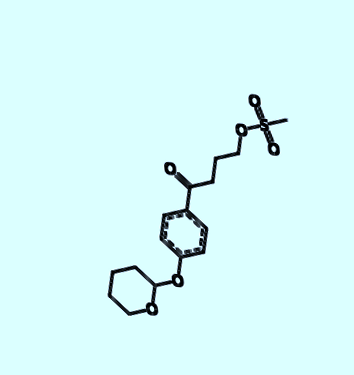 CS(=O)(=O)OCCCC(=O)c1ccc(OC2CCCCO2)cc1